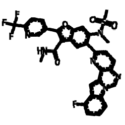 CNC(=O)c1c(-c2ccc(C(F)(F)F)nc2)oc2cc(N(C)S(C)(=O)=O)c(-c3ccc4ncn5c6cccc(F)c6cc5c4n3)cc12